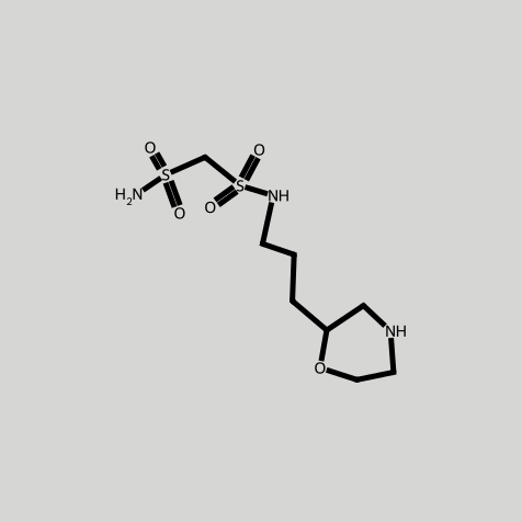 NS(=O)(=O)CS(=O)(=O)NCCCC1CNCCO1